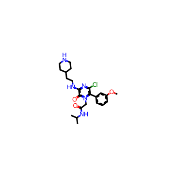 COc1cccc(-c2c(Cl)nc(NCCC3CCNCC3)c(=O)n2CC(=O)NC(C)C)c1